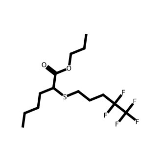 CCCCC(SCCCC(F)(F)C(F)(F)F)C(=O)OCCC